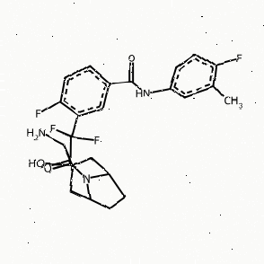 Cc1cc(NC(=O)c2ccc(F)c(C(F)(F)C(=O)N3C4CCC3CC(O)(CN)C4)c2)ccc1F